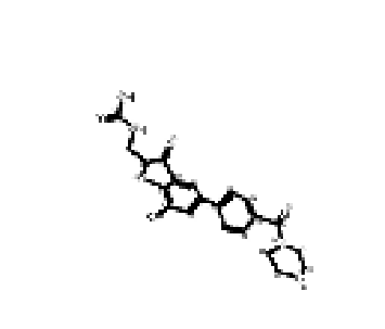 O=C(O)NCC1Oc2c(Cl)cc(-c3ccc(C(=O)N4CCOCC4)cc3)cc2C1=O